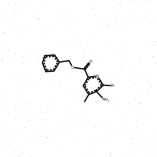 Cc1cc(C(=O)OCc2ccccc2)nc(C(C)C)c1N